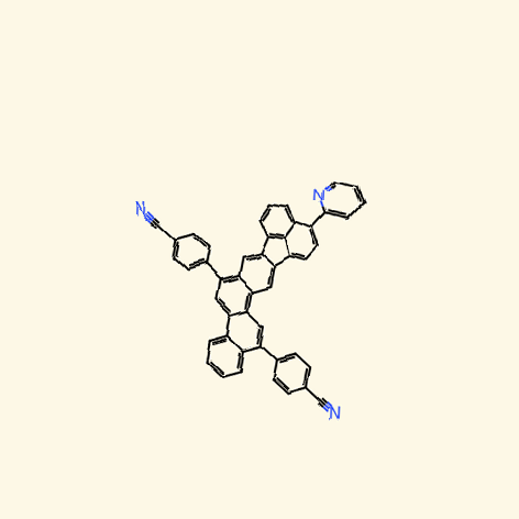 N#Cc1ccc(-c2cc3c4cc5c(cc4c(-c4ccc(C#N)cc4)cc3c3ccccc23)-c2cccc3c(-c4ccccn4)ccc-5c23)cc1